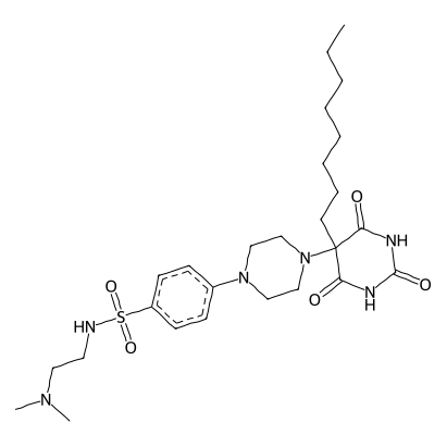 CCCCCCCCC1(N2CCN(c3ccc(S(=O)(=O)NCCN(C)C)cc3)CC2)C(=O)NC(=O)NC1=O